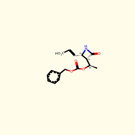 C[C@@H](OC(=O)OCc1ccccc1)[C@H]1C(=O)N[C@H]1C=CC(=O)O